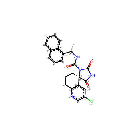 C[C@H](NC(=O)N1C(=O)NC(=O)[C@]12CCCc1ncc(Cl)cc12)c1cccc2ccccc12